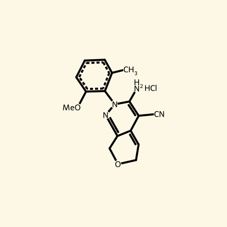 COc1cccc(C)c1N1N=C2COCC=C2C(C#N)=C1N.Cl